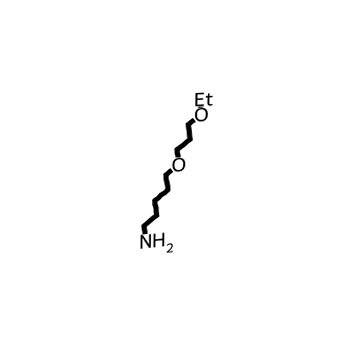 CCOCCCOCCCCCN